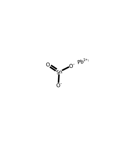 [O]=[Sn]([O-])[O-].[Pb+2]